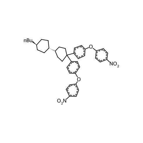 CCCC[C@H]1CC[C@H](C2CCC(c3ccc(Oc4ccc([N+](=O)[O-])cc4)cc3)(c3ccc(Oc4ccc([N+](=O)[O-])cc4)cc3)CC2)CC1